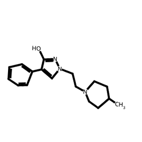 CC1CCN(CCn2cc(-c3ccccc3)c(O)n2)CC1